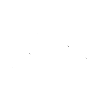 CNc1ccc(-n2c(=O)n(CC3CCC(NC(=O)c4cc(Cl)cnc4C(F)(F)F)CC3)c3ccccc32)nc1